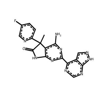 CC1(c2ccc(F)cn2)C(=O)Nc2nc(-c3ncnc4[nH]ncc34)nc(N)c21